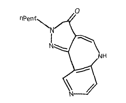 CCCCCn1nc2c3cnccc3[nH]cc-2c1=O